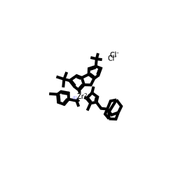 CC1=[C](/[Zr+2](=[C](\C)c2ccc(C)cc2)[c]2cc(C(C)(C)C)cc3c2Cc2ccc(C(C)(C)C)cc2-3)C(C)C=C1CC12CC3CC(CC(C3)C1)C2.[Cl-].[Cl-]